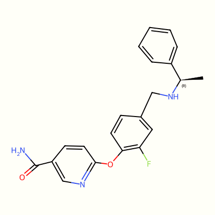 C[C@@H](NCc1ccc(Oc2ccc(C(N)=O)cn2)c(F)c1)c1ccccc1